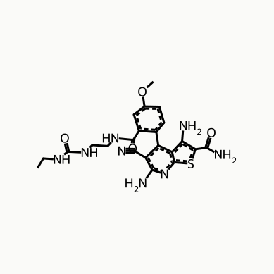 CCNC(=O)NCCNC(=O)c1cc(OC)ccc1-c1c(C#N)c(N)nc2sc(C(N)=O)c(N)c12